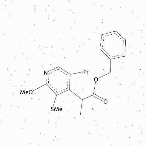 COc1ncc(C(C)C)c(C(C)C(=O)OCc2ccccc2)c1SC